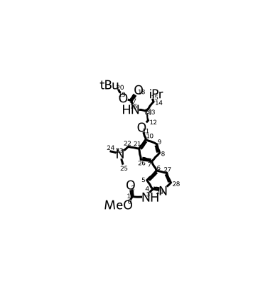 COC(=O)Nc1cc(-c2ccc(OC[C@H](CC(C)C)NC(=O)OC(C)(C)C)c(CN(C)C)c2)ccn1